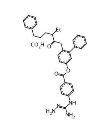 CCC(C[C@@H](Cc1ccccc1)C(=O)O)C(=O)Cc1ccc(OC(=O)c2ccc(NC(N)=NN)cc2)cc1-c1ccccc1